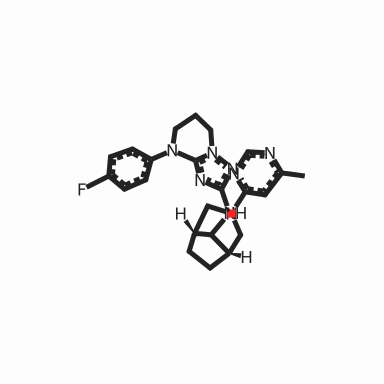 Cc1cc(N2C[C@H]3CC[C@@H](C2)C3Nc2nc3n(n2)CCCN3c2ccc(F)cc2)ncn1